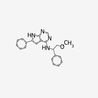 COCC(Nc1ncnc2[nH]c(-c3ccccc3)cc12)c1ccccc1